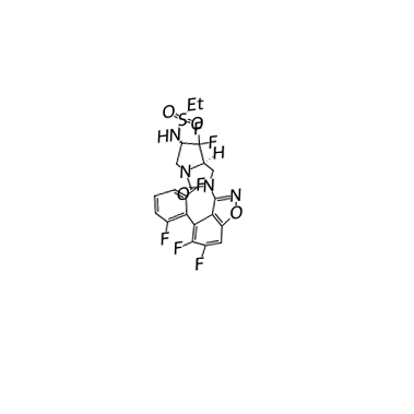 CCS(=O)(=O)N[C@@H]1CN2C(=O)N(c3noc4cc(F)c(F)c(-c5c(F)cccc5F)c34)C[C@@H]2C1(F)F